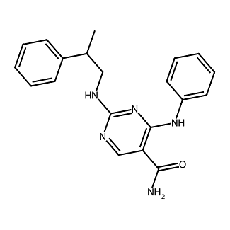 CC(CNc1ncc(C(N)=O)c(Nc2ccccc2)n1)c1ccccc1